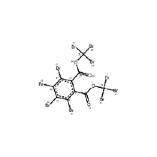 O=C(OC(Br)(Br)Br)c1c(Br)c(Br)c(Br)c(Br)c1C(=O)OC(Br)(Br)Br